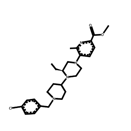 CC[C@H]1CN(c2ccc(C(=O)OC)nc2C)CCN1C1CCN(Cc2ccc(Cl)cc2)CC1